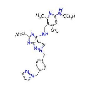 COc1nc(NCc2c(C)cc(NC(=O)O)nc2C)c2cn(Cc3ccc(Cn4cccn4)cc3)nc2n1